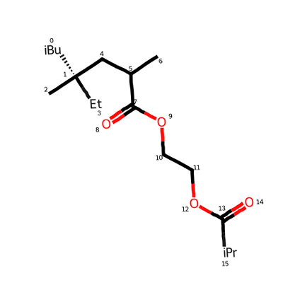 CCC(C)[C@@](C)(CC)CC(C)C(=O)OCCOC(=O)C(C)C